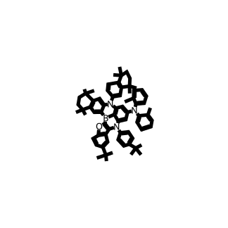 Cc1ccccc1N(c1cc2c3c(c1)N(c1ccc(C(C)(C)C)cc1)c1c(oc4ccc(C(C)(C)C)cc14)B3c1cc3c(cc1N2c1ccc2c(c1)C(C)(C)CCC2(C)C)C(C)(C)CCC3(C)C)c1ccccc1C